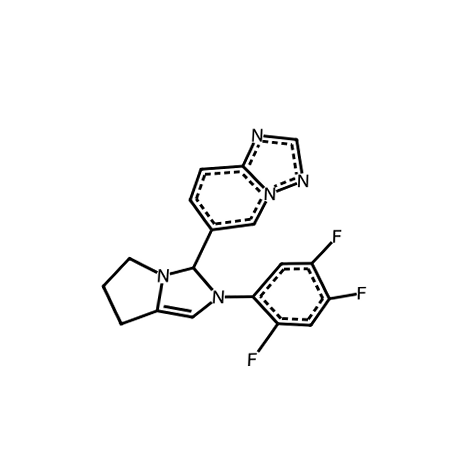 Fc1cc(F)c(N2C=C3CCCN3C2c2ccc3ncnn3c2)cc1F